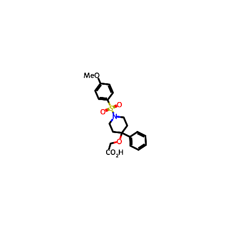 COc1ccc(S(=O)(=O)N2CCC(OCC(=O)O)(c3ccccc3)CC2)cc1